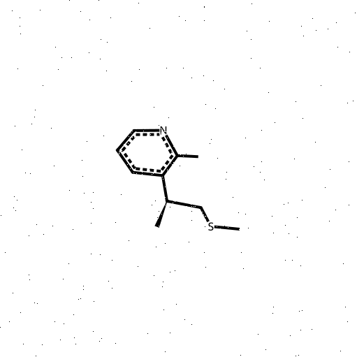 CSC[C@@H](C)c1cccnc1C